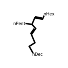 CCCCCCC=CC(C=CCCCCCCCCCCCC)CCCCC